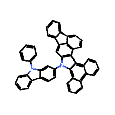 c1ccc(-n2c3ccccc3c3ccc(-n4c5cc6c7c(cccc7c5c5c7ccccc7c7ccccc7c54)-c4ccccc4-6)cc32)cc1